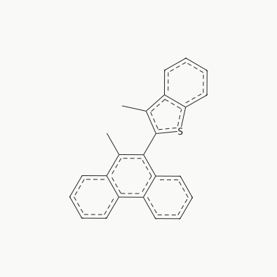 Cc1c(-c2c(C)c3ccccc3c3ccccc23)sc2ccccc12